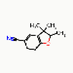 CC1OC2=C(C=C(C#N)CC2)C1(C)C